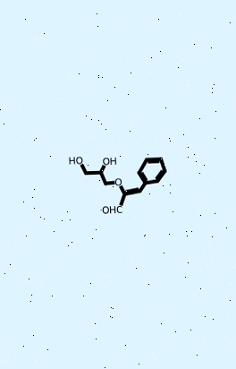 O=[C]C(=Cc1ccccc1)OCC(O)CO